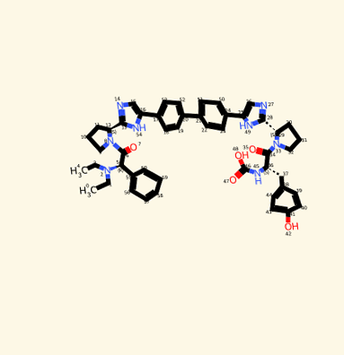 CCN(CC)[C@@H](C(=O)N1CCC[C@H]1c1ncc(-c2ccc(-c3ccc(-c4cnc([C@@H]5CCCN5C(=O)[C@H](Cc5ccc(O)cc5)NC(=O)O)[nH]4)cc3)cc2)[nH]1)c1ccccc1